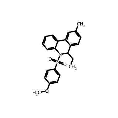 CCC1c2ccc(C)cc2-c2ccccc2N1S(=O)(=O)c1ccc(OC)cc1